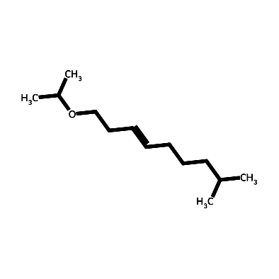 CC(C)CCC/C=C/CCOC(C)C